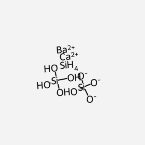 O[Si](O)(O)O.[Ba+2].[Ca+2].[O-][Si]([O-])([O-])[O-].[SiH4]